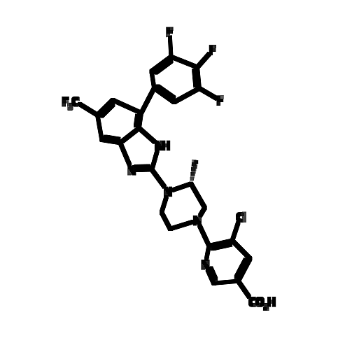 C[C@@H]1CN(c2ncc(C(=O)O)cc2Cl)CCN1c1nc2cc(C(F)(F)F)cc(-c3cc(F)c(F)c(F)c3)c2[nH]1